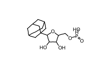 O=[PH](O)OCC1OC(C23CC4CC(CC(C4)C2)C3)C(O)C1O